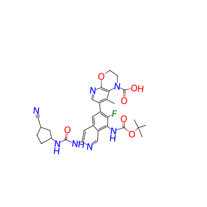 Cc1c(-c2cc3cc(NC(=O)NC4CCC(C#N)C4)ncc3c(NC(=O)OC(C)(C)C)c2F)cnc2c1N(C(=O)O)CCO2